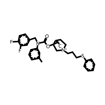 Cc1cccc(N(Cc2ccc(F)c(F)c2)C(=O)OC2C[N+]3(CCCSc4ccccc4)CCC2CC3)c1